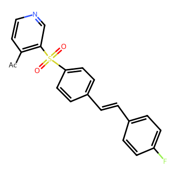 CC(=O)c1ccncc1S(=O)(=O)c1ccc(/C=C/c2ccc(F)cc2)cc1